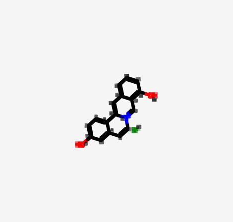 Oc1ccc2c(cc[n+]3cc4c(O)cccc4cc23)c1.[Br-]